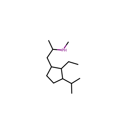 CCC1C(CC(C)PC)CCC1C(C)C